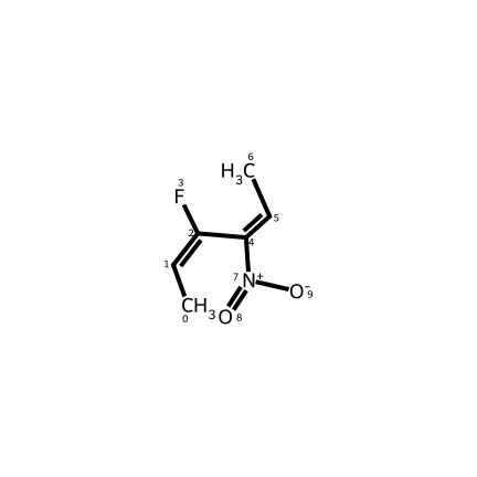 C/C=C(F)\C(=C/C)[N+](=O)[O-]